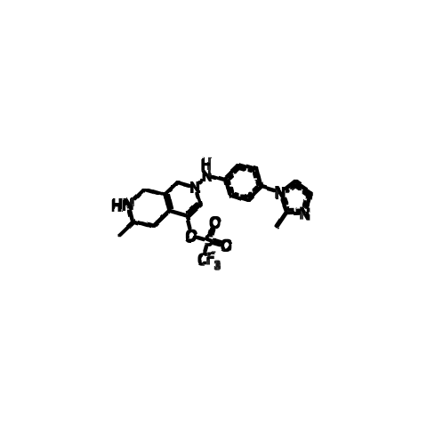 Cc1nccn1-c1ccc(NN2C=C(OS(=O)(=O)C(F)(F)F)C3=C(CNC(C)C3)C2)cc1